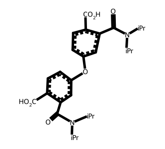 CC(C)N(C(=O)c1cc(Oc2ccc(C(=O)O)c(C(=O)N(C(C)C)C(C)C)c2)ccc1C(=O)O)C(C)C